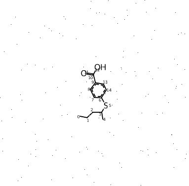 CCCC(C)Sc1ccc(C(=O)O)cc1